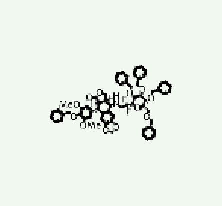 COc1cc([C@@H]2c3cc4c(cc3[C@@H](NCC(F)(F)[C@@H]3O[C@H](COCc5ccccc5)[C@@H](OCc5ccccc5)[C@H](OCc5ccccc5)[C@H]3OCc3ccccc3)[C@H]3COC(=O)[C@H]23)OCO4)cc(OC)c1OCc1ccccc1